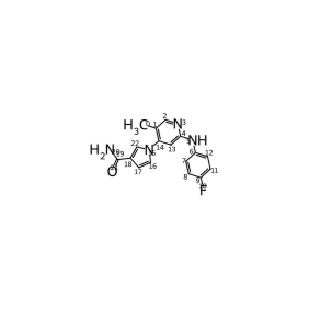 Cc1cnc(Nc2ccc(F)cc2)cc1-n1ccc(C(N)=O)c1